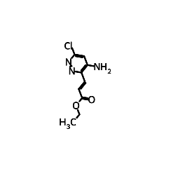 CCOC(=O)/C=C/c1nnc(Cl)cc1N